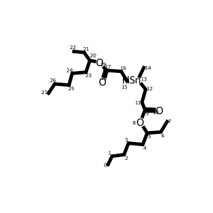 CCCCCC(CC)OC(=O)C[CH2][SnH]([CH3])[CH2]CC(=O)OC(CC)CCCCC